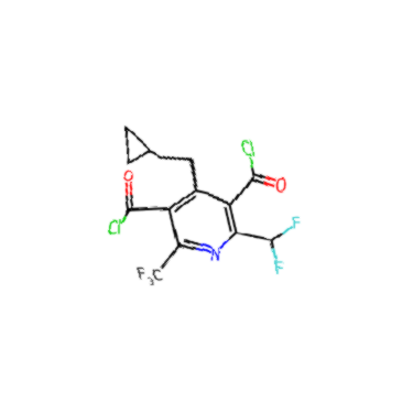 O=C(Cl)c1c(C(F)F)nc(C(F)(F)F)c(C(=O)Cl)c1CC1CC1